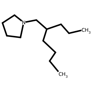 CCCCC(CCC)CN1CCCC1